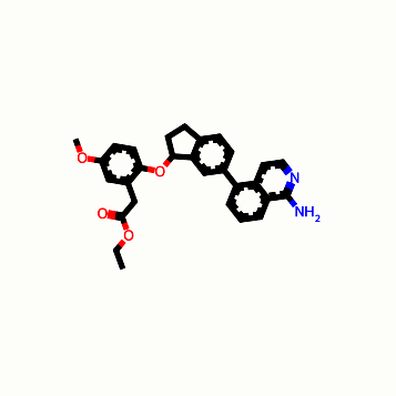 CCOC(=O)Cc1cc(OC)ccc1OC1CCc2ccc(-c3cccc4c(N)nccc34)cc21